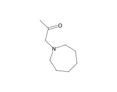 CC(=O)CN1CCCCCC1